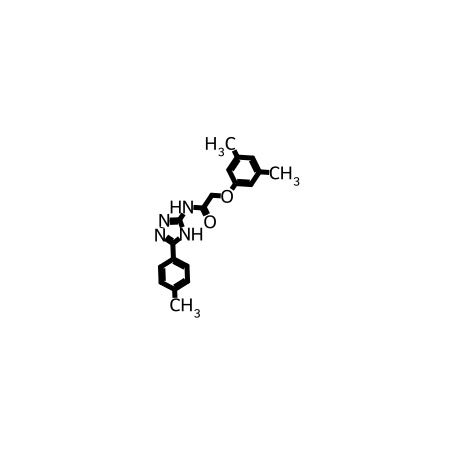 Cc1ccc(-c2nnc(NC(=O)COc3cc(C)cc(C)c3)[nH]2)cc1